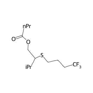 CCCC(=O)OCC(SCCCC(F)(F)F)C(C)C